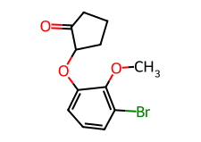 COc1c(Br)cccc1OC1CCCC1=O